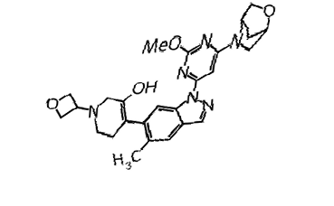 COc1nc(N2CC3CC2CO3)cc(-n2ncc3cc(C)c(C4=C(O)CN(C5COC5)CC4)cc32)n1